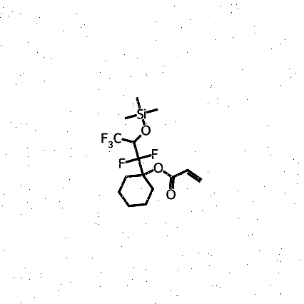 C=CC(=O)OC1(C(F)(F)C(O[Si](C)(C)C)C(F)(F)F)CCCCC1